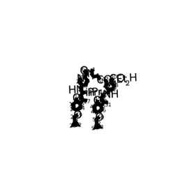 CCOC(=O)CCN(C)C(=O)c1ccc(NC(c2oc3ccc(OCC4CC4)cc3c2C)C(C)C)cn1.Cc1c(C(NC2=CC=C(C(=O)O)N(C)C2)C(C)C)oc2ccc(OCC3CC3)cc12